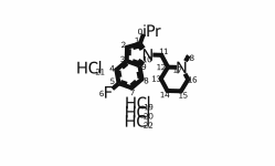 CC(C)c1cc2cc(F)ccc2n1CC1CCCCN1C.Cl.Cl.Cl.Cl